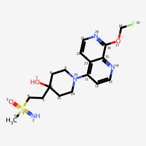 CS(=N)(=O)CCC1(O)CCN(c2ccnc3c(OCF)nccc23)CC1